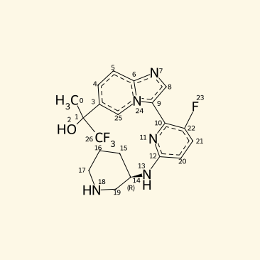 CC(O)(c1ccc2ncc(-c3nc(N[C@@H]4CCCNC4)ccc3F)n2c1)C(F)(F)F